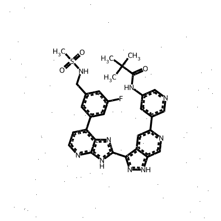 CC(C)(C)C(=O)Nc1cncc(-c2cc3c(-c4nc5c(-c6cc(F)cc(CNS(C)(=O)=O)c6)ccnc5[nH]4)n[nH]c3cn2)c1